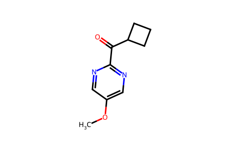 COc1cnc(C(=O)C2CCC2)nc1